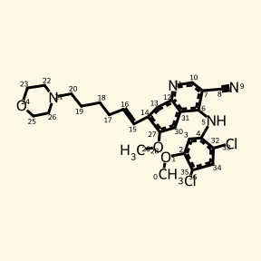 COc1cc(Nc2c(C#N)cnc3cc(C=CCCCCN4CCOCC4)c(OC)cc23)c(Cl)cc1Cl